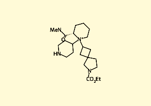 CCOC(=O)N1CCC2(CC([N+]3(C4CCNCC4)CCCC[C@H]3C(=O)NC)C2)C1